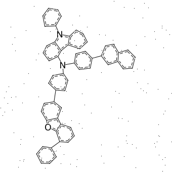 c1ccc(-c2cccc3c2oc2ccc(-c4ccc(N(c5ccc(-c6ccc7ccccc7c6)cc5)c5cccc6c5c5ccccc5n6-c5ccccc5)cc4)cc23)cc1